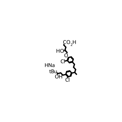 CC(CCCc1ccc(OC[C@H](O)CCC(=O)O)c(Cl)c1)c1ccc(CCC(O)C(C)(C)C)c(Cl)c1.[NaH]